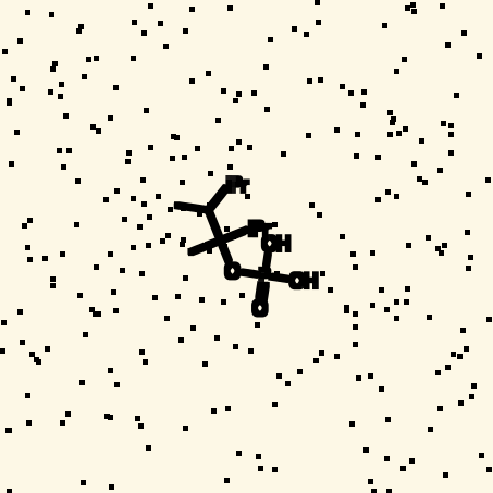 CC(C)C(C)C(C)(OP(=O)(O)O)C(C)C